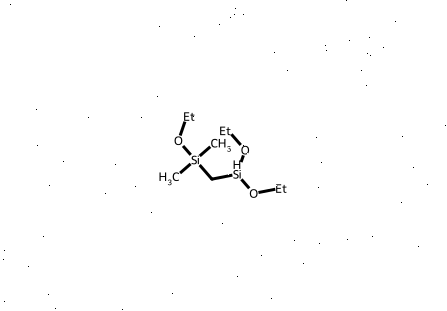 CCO[SiH](C[Si](C)(C)OCC)OCC